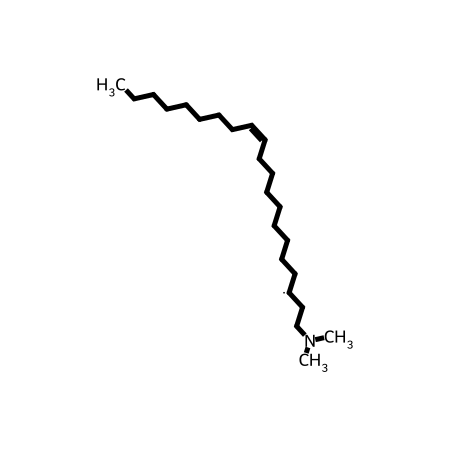 CCCCCCCC/C=C\CCCCCCCC[CH]CCN(C)C